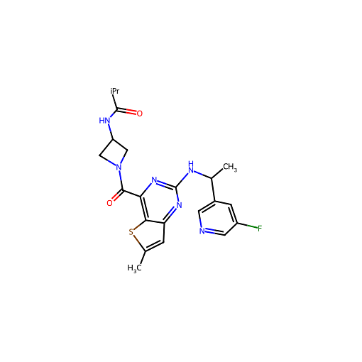 Cc1cc2nc(NC(C)c3cncc(F)c3)nc(C(=O)N3CC(NC(=O)C(C)C)C3)c2s1